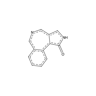 O=c1[nH]cc2cncc3ccccc3c1-2